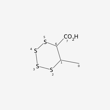 CC1SSSSC1C(=O)O